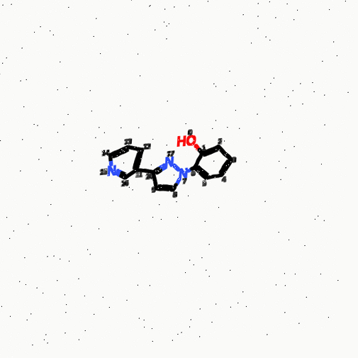 Oc1ccccc1-n1ccc(-c2cccnc2)n1